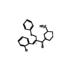 O=C(O)C1CCCN(C(=O)/C(=C/c2ccccc2Cl)CSc2ccccc2)C1